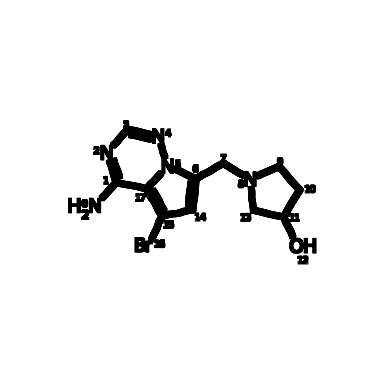 Nc1ncnn2c(CN3CCC(O)C3)cc(Br)c12